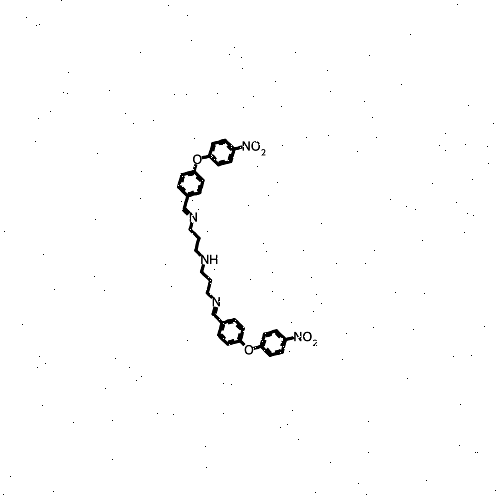 O=[N+]([O-])c1ccc(Oc2ccc(C=NCCCNCCCN=Cc3ccc(Oc4ccc([N+](=O)[O-])cc4)cc3)cc2)cc1